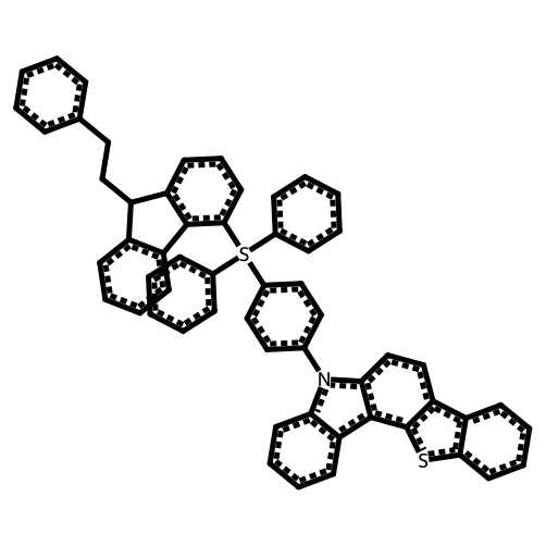 c1ccc(CCC2c3ccccc3-c3c2cccc3S(c2ccccc2)(c2ccccc2)c2ccc(-n3c4ccccc4c4c5sc6ccccc6c5ccc43)cc2)cc1